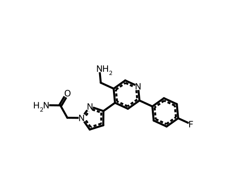 NCc1cnc(-c2ccc(F)cc2)cc1-c1ccn(CC(N)=O)n1